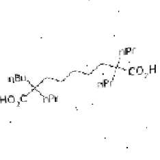 CCCCC(CCC)(CCCCCC(CCC)(CCC)C(=O)O)C(=O)O